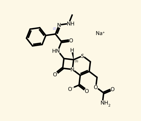 CN/N=C(\C(=O)NC1C(=O)N2C(C(=O)[O-])=C(COC(N)=O)CS[C@@H]12)c1ccccc1.[Na+]